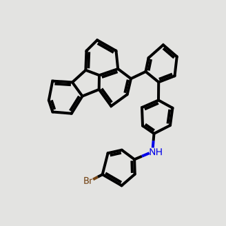 Brc1ccc(Nc2ccc(-c3ccccc3-c3ccc4c5c(cccc35)-c3ccccc3-4)cc2)cc1